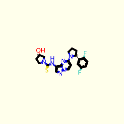 O[C@H]1CCN(C(=S)Nc2cnn3ccc(N4CCC[C@@H]4c4cc(F)ccc4F)nc23)C1